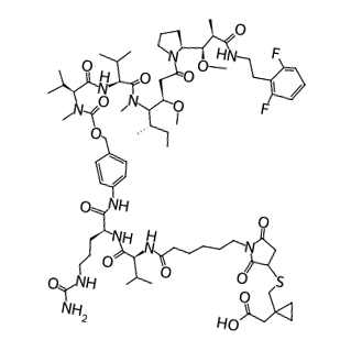 CC[C@H](C)C([C@@H](CC(=O)N1CCC[C@H]1[C@H](OC)[C@@H](C)C(=O)NCCc1c(F)cccc1F)OC)N(C)C(=O)[C@@H](NC(=O)[C@H](C(C)C)N(C)C(=O)OCc1ccc(NC(=O)[C@H](CCCNC(N)=O)NC(=O)[C@@H](NC(=O)CCCCCN2C(=O)CC(SCC3(CC(=O)O)CC3)C2=O)C(C)C)cc1)C(C)C